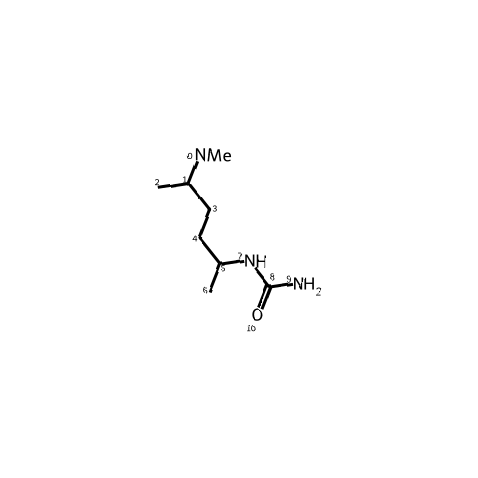 CNC(C)CCC(C)NC(N)=O